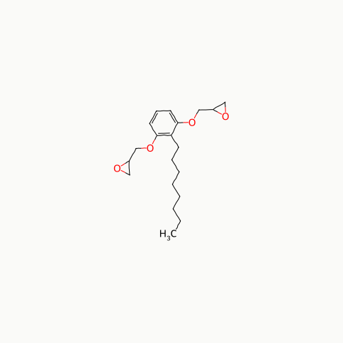 CCCCCCCCc1c(OCC2CO2)cccc1OCC1CO1